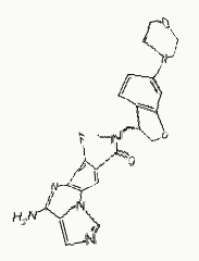 CN(C(=O)c1cc2c(cc1F)nc(N)c1cncn12)[C@@H]1COc2cc(N3CCOCC3)ccc21